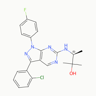 C[C@H](Nc1ncc2c(-c3ccccc3Cl)nn(-c3ccc(F)cc3)c2n1)C(C)(C)O